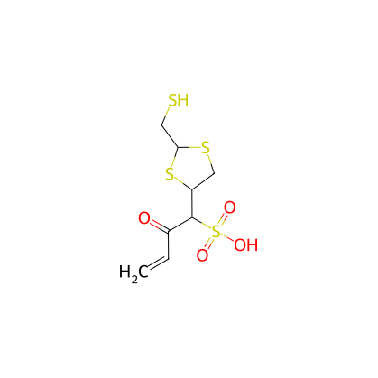 C=CC(=O)C(C1CSC(CS)S1)S(=O)(=O)O